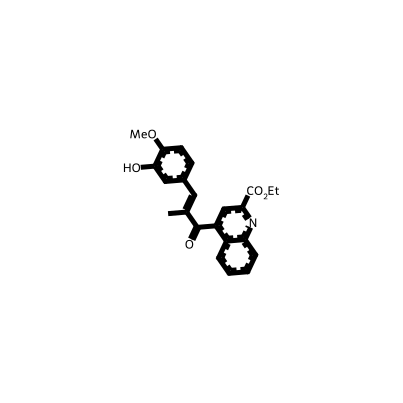 CCOC(=O)c1cc(C(=O)C(C)=Cc2ccc(OC)c(O)c2)c2ccccc2n1